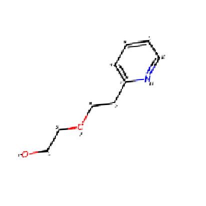 [O]CCOCCc1ccccn1